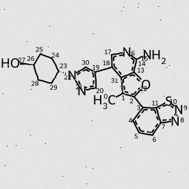 Cc1c(-c2cccc3nnsc23)oc2c(N)ncc(-c3cnn([C@H]4CC[C@H](O)CC4)c3)c12